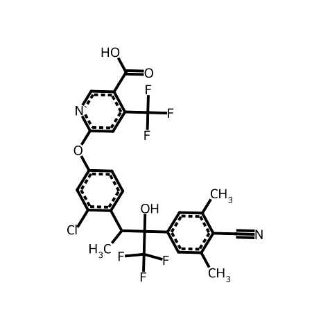 Cc1cc(C(O)(C(C)c2ccc(Oc3cc(C(F)(F)F)c(C(=O)O)cn3)cc2Cl)C(F)(F)F)cc(C)c1C#N